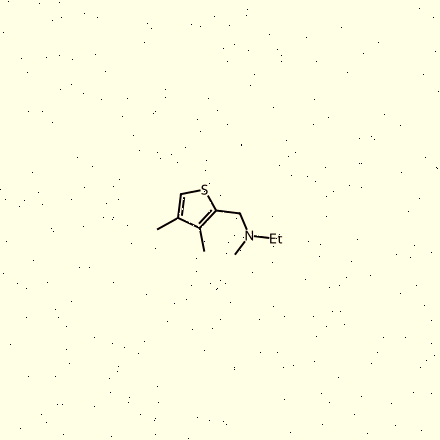 CCN(C)Cc1scc(C)c1C